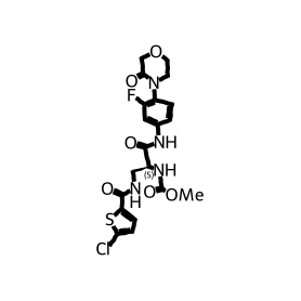 COC(=O)N[C@@H](CNC(=O)c1ccc(Cl)s1)C(=O)Nc1ccc(N2CCOCC2=O)c(F)c1